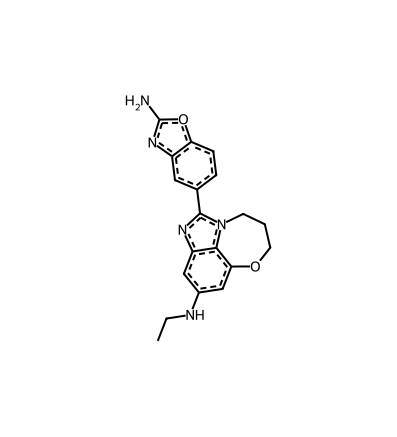 CCNc1cc2c3c(c1)nc(-c1ccc4oc(N)nc4c1)n3CCCO2